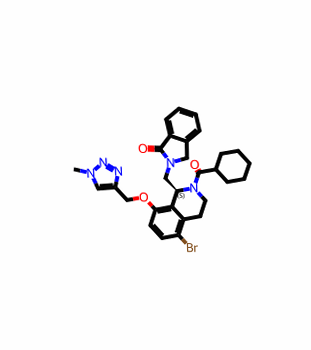 Cn1cc(COc2ccc(Br)c3c2[C@@H](CN2Cc4ccccc4C2=O)N(C(=O)C2CCCCC2)CC3)nn1